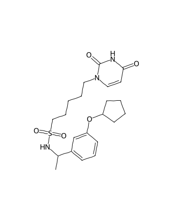 CC(NS(=O)(=O)CCCCCn1ccc(=O)[nH]c1=O)c1cccc(OC2CCCC2)c1